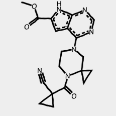 COC(=O)c1cc2c(N3CCN(C(=O)C4(C#N)CC4)C4(CC4)C3)ncnc2[nH]1